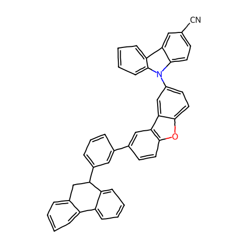 N#Cc1ccc2c(c1)c1ccccc1n2-c1ccc2oc3ccc(-c4cccc(C5Cc6ccccc6-c6ccccc65)c4)cc3c2c1